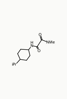 CNC(=O)C(=O)NC1CCC(C(C)C)CC1